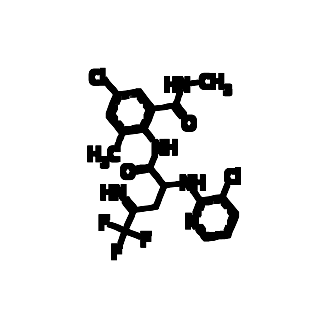 CNC(=O)c1cc(Cl)cc(C)c1NC(=O)C(CC(=N)C(F)(F)F)Nc1ncccc1Cl